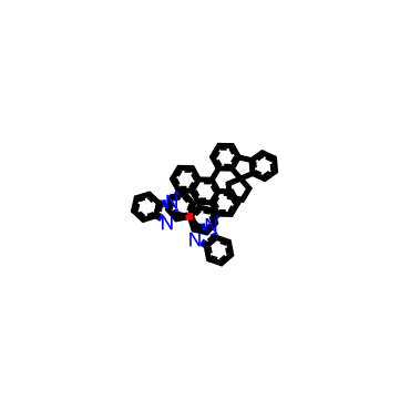 c1ccc(-c2nc3ccccc3n2-c2cccc3c(-c4cccc5c4C4(CCCC4)c4ccccc4-5)c4cccc(-n5c(-c6ccccc6)nc6ccccc65)c4cc23)cc1